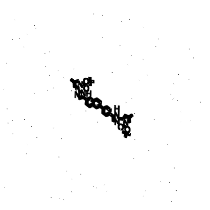 CC1=CC(c2ncc(-c3ccc(-c4ccc5cc(-c6cnc([C@@H]7C=C(C)CN7C(=O)OC(C)(C)C)[nH]6)ccc5c4)cc3)[nH]2)N(C(=O)OC(C)(C)C)C1